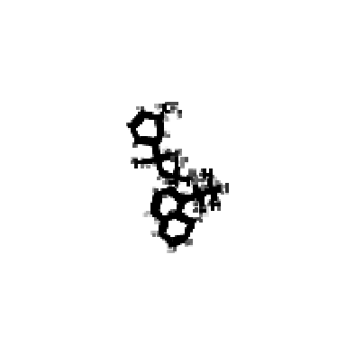 [2H]C([2H])(CC([2H])([2H])c1cccc(C(F)(F)F)c1)NC([2H])(c1cccc2ccccc12)C([2H])([2H])[2H]